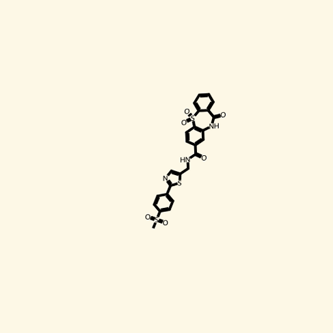 CS(=O)(=O)c1ccc(-c2ncc(CNC(=O)c3ccc4c(c3)NC(=O)c3ccccc3S4(=O)=O)s2)cc1